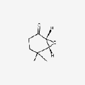 CC1(C)CCC(=O)[C@@H]2O[C@@H]21